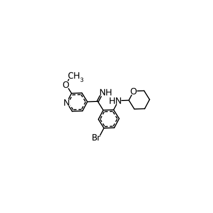 COc1cc(C(=N)c2cc(Br)ccc2NC2CCCCO2)ccn1